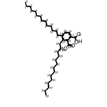 CCCCCCCCCCCCCCc1ccc(C(=O)O)c(C(=O)O)c1CCCCCCCCCCCCCC